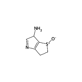 NC1C=NC2=C1[S+]([O-])CC2